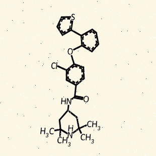 CC1(C)CC(NC(=O)c2ccc(Oc3ccccc3-c3cccs3)c(Cl)c2)CC(C)(C)N1